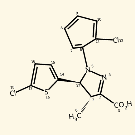 C[C@H]1C(C(=O)O)=NN(c2ccccc2Cl)[C@@H]1c1ccc(Cl)s1